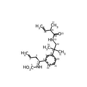 C=CC[C@H](NC(=O)O)c1cc(C(C)(C)CNC(=O)C(C)C=C)ccn1